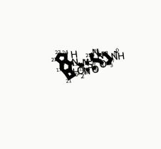 CN[C@@H]1COc2c(S(N)(=O)=NC(=O)Nc3c4c(cc5c3CC5)CCC4)cnn2C1